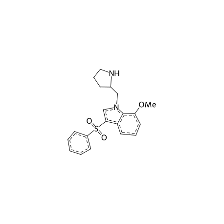 COc1cccc2c(S(=O)(=O)c3ccccc3)cn(CC3CCCN3)c12